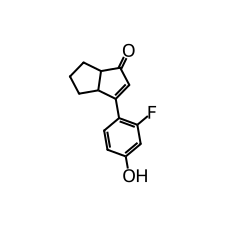 O=C1C=C(c2ccc(O)cc2F)C2CCCC12